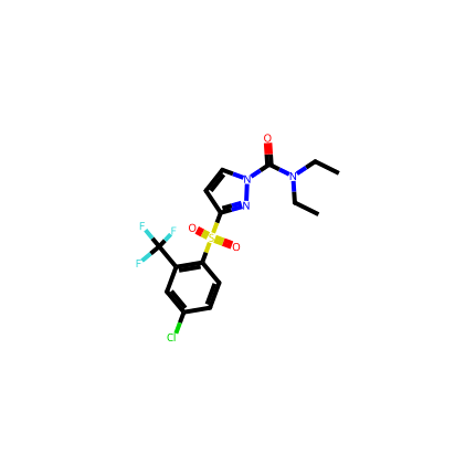 CCN(CC)C(=O)n1ccc(S(=O)(=O)c2ccc(Cl)cc2C(F)(F)F)n1